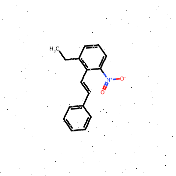 CCc1cccc([N+](=O)[O-])c1C=Cc1ccccc1